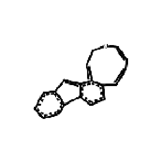 C1=COCC=c2c(ccc3c2=Cc2ccccc2-3)C=C1